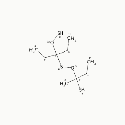 CCC(C)(S)OSC(CC)(CC)OS